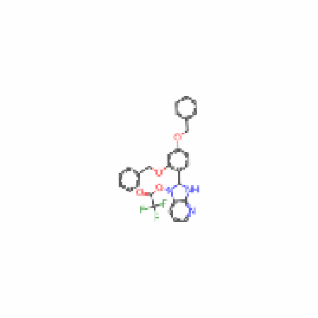 O=C(ON1c2cccnc2NC1c1ccc(OCc2ccccc2)cc1OCc1ccccc1)C(F)(F)F